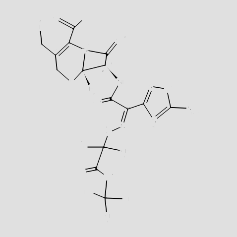 CC(C)(C)OC(=O)C(C)(C)O/N=C(\C(=O)N[C@@H]1C(=O)N2C(C(=O)O)=C(CI)CS[C@@H]12)c1nsc(N)n1